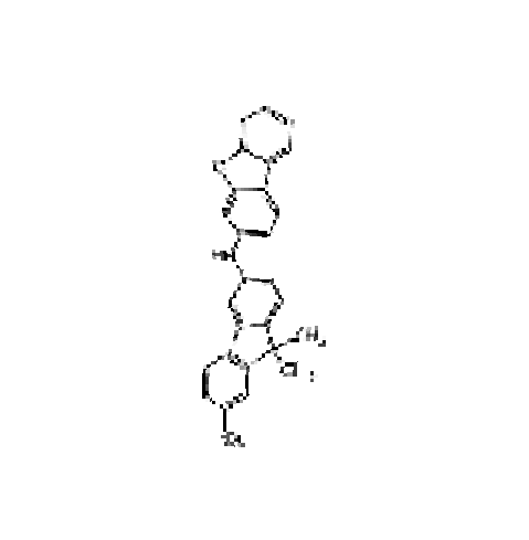 CC(C)(C)c1ccc2c(c1)C(C)(C)c1ccc(Nc3ccc4c(c3)oc3ccccc34)cc1-2